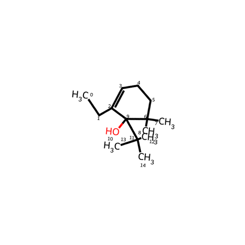 CCC1=CCCC(C)(C)C1(O)C(C)(C)C